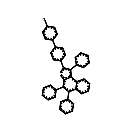 Clc1ccc(-c2ccc(-c3sc4c(-c5ccccc5)c(-c5ccccc5)c5ccccc5c4c3-c3ccccc3)cc2)cc1